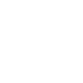 C1=CCC=C1.C=CCCC=C